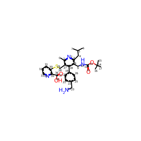 Cc1nc(CC(C)C)c(CNC(=O)OC(C)(C)C)c(-c2ccc(CN)cc2)c1CSc1cccnc1C(=O)O